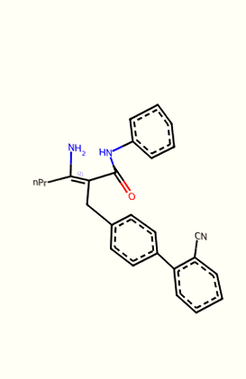 CCC/C(N)=C(\Cc1ccc(-c2ccccc2C#N)cc1)C(=O)Nc1ccccc1